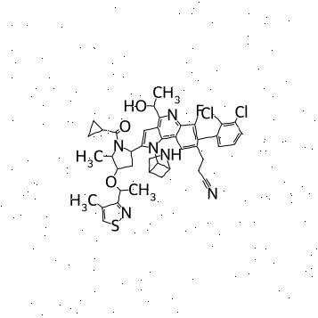 Cc1csnc1C(C)OC1CC(c2cc3c(C(C)O)nc4c(F)c(-c5cccc(Cl)c5Cl)c(CCC#N)cc4c3n2C2C3CNC2C3)N(C(=O)C2CC2)C1C